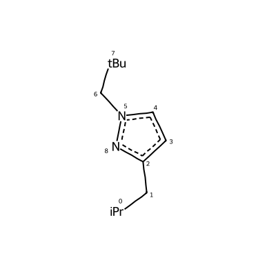 CC(C)Cc1ccn(CC(C)(C)C)n1